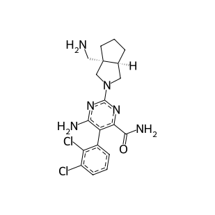 NC[C@]12CCC[C@H]1CN(c1nc(N)c(-c3cccc(Cl)c3Cl)c(C(N)=O)n1)C2